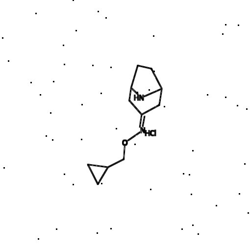 C1CC1CON=C1CC2CCC(C1)N2.Cl